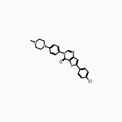 CN1CCN(c2ccc(-n3cnc4cc(-c5ccc(Cl)cc5)sc4c3=O)cc2)CC1